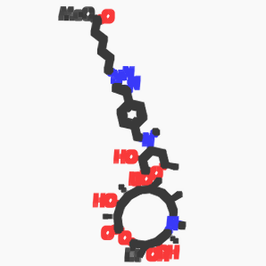 CC[C@H]1OC(=O)[C@H](C)[C@@H](O)[C@H](C)[C@@H](O[C@@H]2O[C@H](C)C[C@H](N(C)Cc3ccc(-c4cn(CCCCCC(=O)OC)nn4)cc3)[C@H]2O)[C@](C)(O)C[C@@H](C)CN(C)[C@H](C)[C@@H](O)[C@]1(C)O